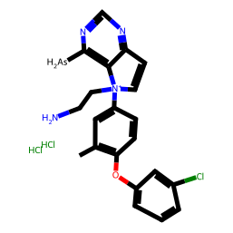 Cc1cc([N+]2(CCN)C=Cc3ncnc([AsH2])c32)ccc1Oc1cccc(Cl)c1.Cl.Cl